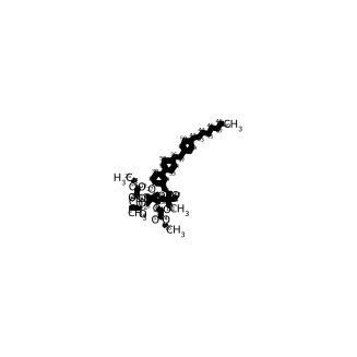 C=C(C)C(=O)OCC(COC(=O)C(=O)OCC)(COC(=O)C(=O)OCC)COc1ccc(-c2ccc(CCc3ccc(CCCCCCCC)cc3)cc2)cc1COCC1(CC)COC1